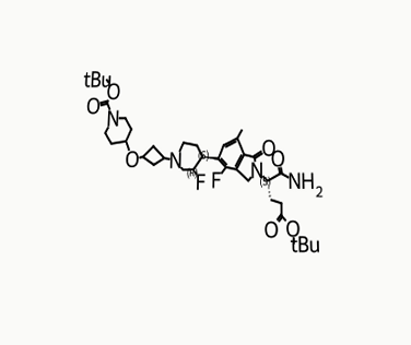 Cc1cc([C@@H]2CCN(C3CC(OC4CCN(C(=O)OC(C)(C)C)CC4)C3)C[C@@H]2F)c(F)c2c1C(=O)N([C@@H](CCC(=O)OC(C)(C)C)C(N)=O)C2